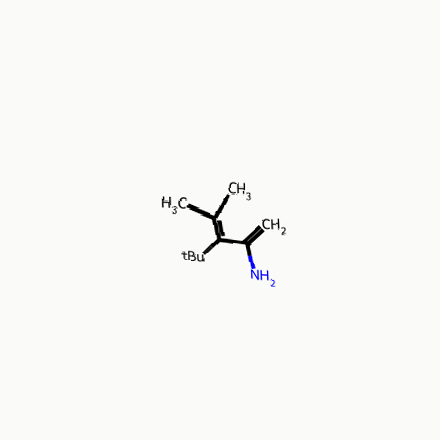 C=C(N)C(=C(C)C)C(C)(C)C